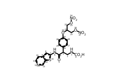 O=C(O)NCC(C(=O)Nc1cc2ccncc2s1)c1ccc(OC(CO[N+](=O)[O-])CO[N+](=O)[O-])cc1